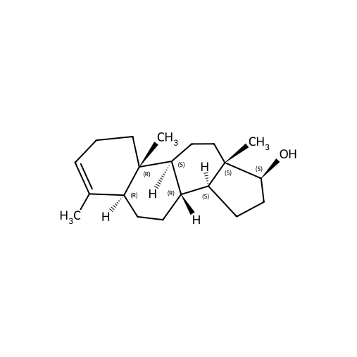 CC1=CCC[C@@]2(C)[C@H]1CC[C@@H]1[C@@H]2CC[C@]2(C)[C@@H](O)CC[C@@H]12